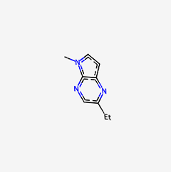 CCc1cnc2c(ccn2C)n1